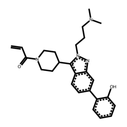 C=CC(=O)N1CCC(c2c3ccc(-c4ccccc4O)cc3nn2CCCN(C)C)CC1